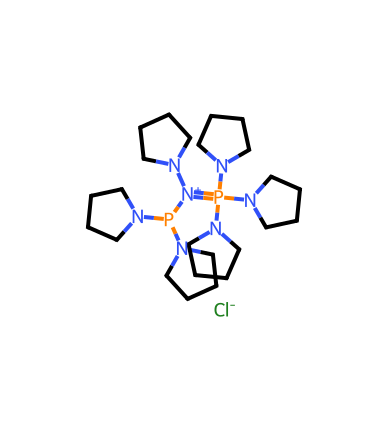 C1CCN([N+](P(N2CCCC2)N2CCCC2)=P(N2CCCC2)(N2CCCC2)N2CCCC2)C1.[Cl-]